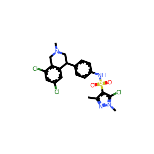 Cc1nn(C)c(Cl)c1S(=O)(=O)Nc1ccc(C2CN(C)Cc3c(Cl)cc(Cl)cc32)cc1